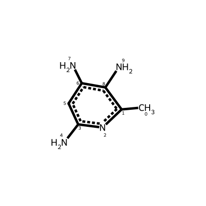 Cc1nc(N)cc(N)c1N